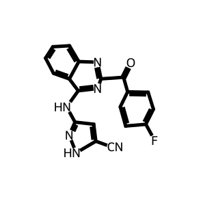 N#Cc1cc(Nc2nc(C(=O)c3ccc(F)cc3)nc3ccccc23)n[nH]1